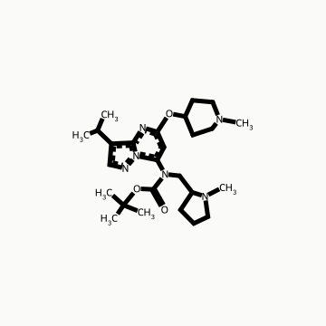 CC(C)c1cnn2c(N(CC3CCCN3C)C(=O)OC(C)(C)C)cc(OC3CCN(C)CC3)nc12